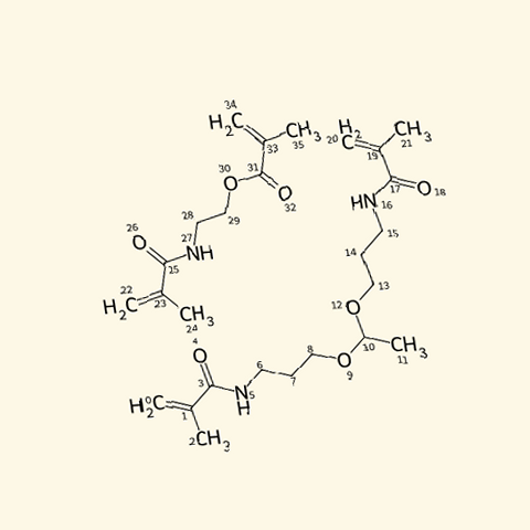 C=C(C)C(=O)NCCCOC(C)OCCCNC(=O)C(=C)C.C=C(C)C(=O)NCCOC(=O)C(=C)C